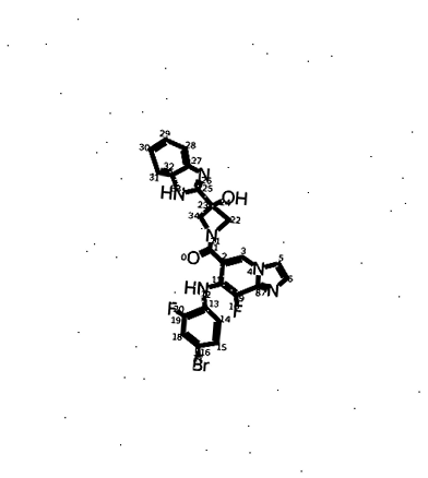 O=C(c1cn2ccnc2c(F)c1Nc1ccc(Br)cc1F)N1CC(O)(c2nc3ccccc3[nH]2)C1